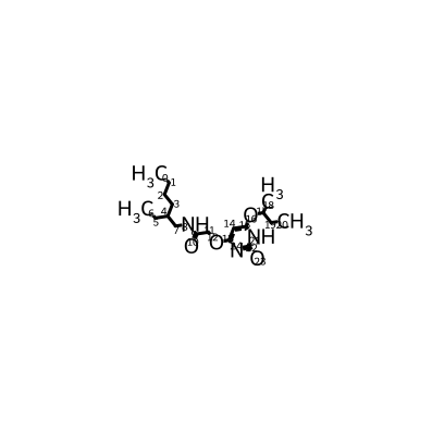 CCCCC(CC)CNC(=O)COc1cc(OC(C)CC)[nH]c(=O)n1